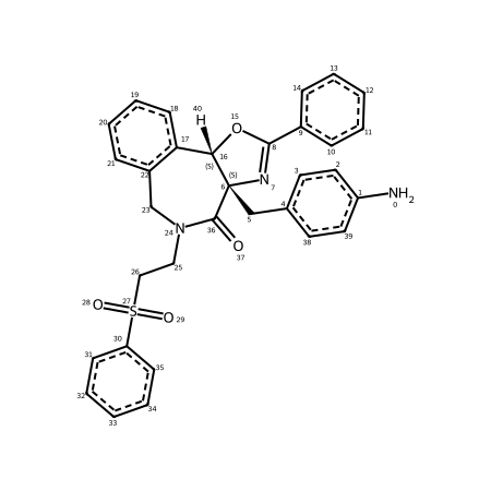 Nc1ccc(C[C@]23N=C(c4ccccc4)O[C@H]2c2ccccc2CN(CCS(=O)(=O)c2ccccc2)C3=O)cc1